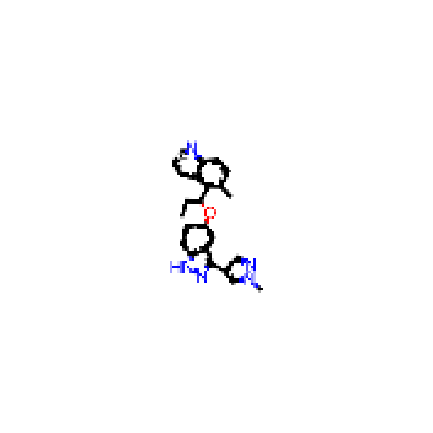 CCC(Oc1ccc2[nH]nc(-c3cnn(C)c3)c2c1)c1c(C)ccc2ncccc12